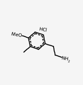 COc1ccc(CCN)cc1C.Cl